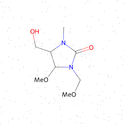 COCN1C(=O)N(C)C(CO)C1OC